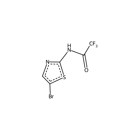 O=C(Nc1ncc(Br)s1)C(F)(F)F